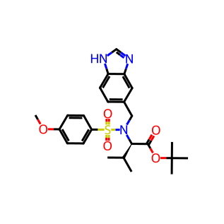 COc1ccc(S(=O)(=O)N(Cc2ccc3[nH]cnc3c2)[C@@H](C(=O)OC(C)(C)C)C(C)C)cc1